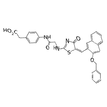 O=C(O)Cc1ccc(NC(=O)CNC2=NC(=O)/C(=C\c3cc4ccccc4cc3OCc3ccccc3)S2)cc1